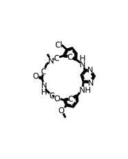 COc1ccc2cc1OCCNC(=O)CCN(C)Cc1cc(ccc1Cl)Nc1cc(ncn1)N2